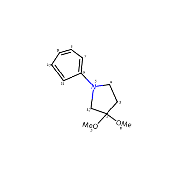 COC1(OC)CCN(c2ccccc2)C1